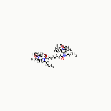 CCCCN(C(=O)CCCCCCCCC(=O)N(CCCC)C1CC(C)(C)N(OC)C(C)(C)C1)C1CC(C)(C)N(OC)C(C)(C)C1